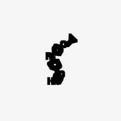 FN(c1ccc(OCC2CC2)cc1)c1ccc(C2OC3CNC2C3)cc1